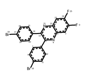 Fc1cc2nc(-c3ccc(Br)cc3)c(-c3ccc(Br)cc3)nc2cc1F